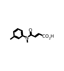 Cc1cccc(N(C)C(=O)C=CC(=O)O)c1